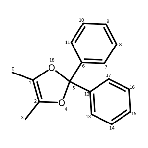 CC1=C(C)OC(c2ccccc2)(c2ccccc2)O1